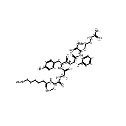 CCCCCCCCCCCCCCCC(=O)N[C@@H](CC(C)C)C(=O)N[C@@H](C)C(=O)N[C@@H](Cc1ccc(O)cc1)C(=O)N[C@@H](Cc1ccccc1)C(=O)N[C@@H](CCCNC(=N)N)C(=O)NC